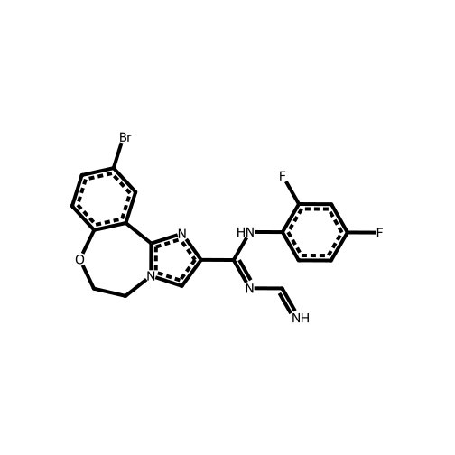 N=C/N=C(\Nc1ccc(F)cc1F)c1cn2c(n1)-c1cc(Br)ccc1OCC2